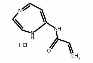 C=CC(=O)NC1=CC=NC=CN1.Cl